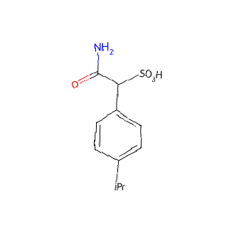 CC(C)c1ccc(C(C(N)=O)S(=O)(=O)O)cc1